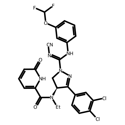 CCN(C(=O)c1cccc(=O)[nH]1)[C@H]1CN(C(=NC#N)Nc2cccc(OC(F)F)c2)N=C1c1ccc(Cl)c(Cl)c1